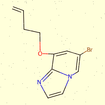 C=CCCOc1cc(Br)cn2ccnc12